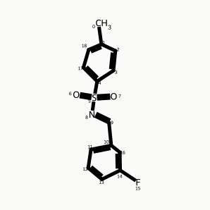 Cc1ccc(S(=O)(=O)/N=C/c2cccc(F)c2)cc1